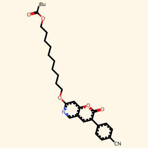 CCC(C)C(=O)OCCCCCCCCCCOc1cc2oc(=O)c(-c3ccc(C#N)cc3)cc2cn1